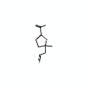 C=C(C)C1CCC(C)(CC=O)S1